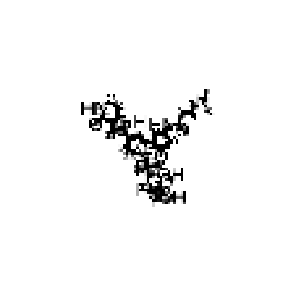 CN(C)C/C=C/C(=O)Nc1cccc(-c2cc(-c3cc4c([nH]3)CCNC4=O)ccn2)c1.O=C(O)C(F)(F)F.O=C(O)C(F)(F)F